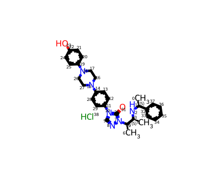 C[C@H](N[C@@H](C)[C@@H](C)n1ncn(-c2ccc(N3CCN(c4ccc(O)cc4)CC3)cc2)c1=O)c1ccccc1.Cl